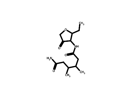 CCC1OCC(=O)C1NC(=O)CC(C)C(C)CC(N)=O